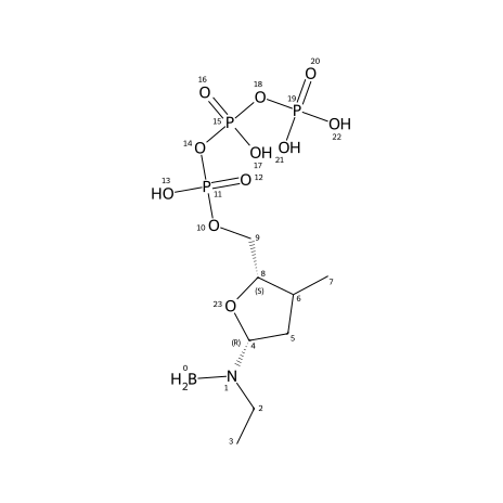 BN(CC)[C@H]1CC(C)[C@@H](COP(=O)(O)OP(=O)(O)OP(=O)(O)O)O1